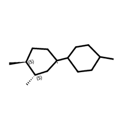 CC1CCC([C]2CC[C@H](C)[C@@H](C)C2)CC1